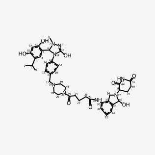 CC(C)c1cc(C2N(C)N=C(O)N2c2ccc(CN3CCN(C(=O)CCCC(=O)Nc4cccc5c4CN(C4CCC(=O)NC4=O)C5O)CC3)cc2)c(O)cc1O